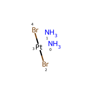 N.N.[Br][Pt][Br]